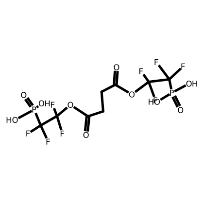 O=C(CCC(=O)OC(F)(F)C(F)(F)P(=O)(O)O)OC(F)(F)C(F)(F)P(=O)(O)O